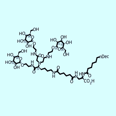 CCCCCCCCCCCCCCCC(=O)N[C@H](CNC(=O)CCCCC(=O)NCCCC[C@@H](C(=O)NCCO[C@H]1O[C@H](CO)[C@@H](O)[C@H](O)[C@@H]1O)N(CC(=O)NCCO[C@H]1O[C@H](CO)[C@@H](O)[C@H](O)[C@@H]1O)CC(=O)NCCO[C@H]1O[C@H](CO)[C@@H](O)[C@H](O)[C@@H]1O)C(=O)O